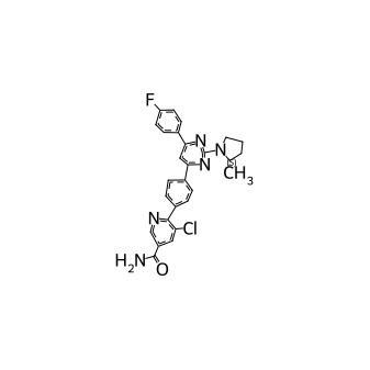 C[C@H]1CCCN1c1nc(-c2ccc(F)cc2)cc(-c2ccc(-c3ncc(C(N)=O)cc3Cl)cc2)n1